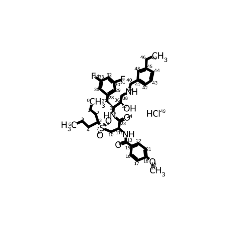 CCCC(CCC)S(=O)(=O)CC(NC(=O)c1ccc(OC)cc1)C(=O)N[C@@H](Cc1cc(F)cc(F)c1)[C@H](O)CNCc1cccc(CC)c1.Cl